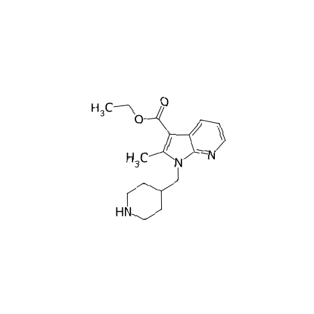 CCOC(=O)c1c(C)n(CC2CCNCC2)c2ncccc12